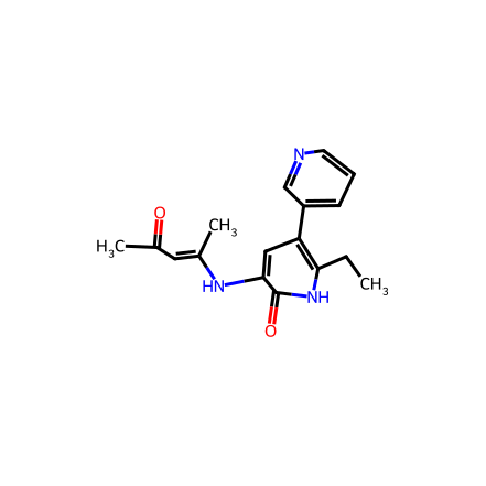 CCc1[nH]c(=O)c(N/C(C)=C/C(C)=O)cc1-c1cccnc1